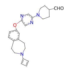 O=CC1CCN(c2cnc(Oc3ccc4c(c3)CCN(C3=CC=C3)CC4)cn2)CC1